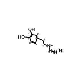 [N-]=[N+]=NNCCc1ccc(O)c(O)c1